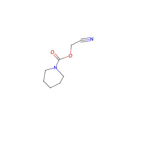 N#CCOC(=O)N1CCCCC1